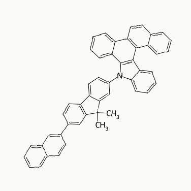 CC1(C)c2cc(-c3ccc4ccccc4c3)ccc2-c2ccc(-n3c4ccccc4c4c5c6ccccc6ccc5c5ccccc5c43)cc21